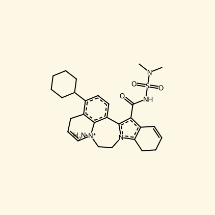 CN(C)S(=O)(=O)NC(=O)c1c2c(n3c1-c1ccc(C4CCCCC4)c4c1[N@+](N)(C=CC4)CC3)CCC=C2